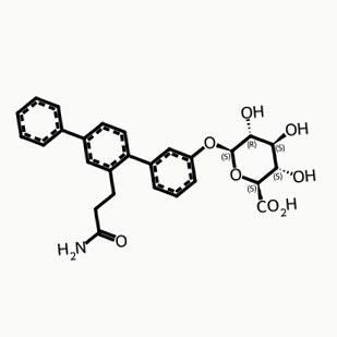 NC(=O)CCc1cc(-c2ccccc2)ccc1-c1cccc(O[C@@H]2O[C@H](C(=O)O)[C@@H](O)[C@H](O)[C@H]2O)c1